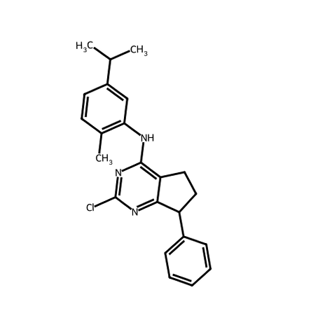 Cc1ccc(C(C)C)cc1Nc1nc(Cl)nc2c1CCC2c1ccccc1